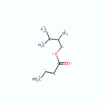 CC(COC(=O)CCC(=O)O)C(C)C(F)(F)F